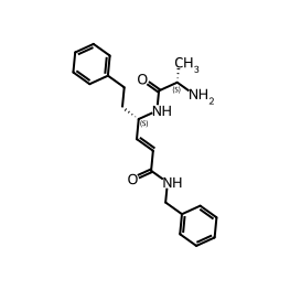 C[C@H](N)C(=O)N[C@H](C=CC(=O)NCc1ccccc1)CCc1ccccc1